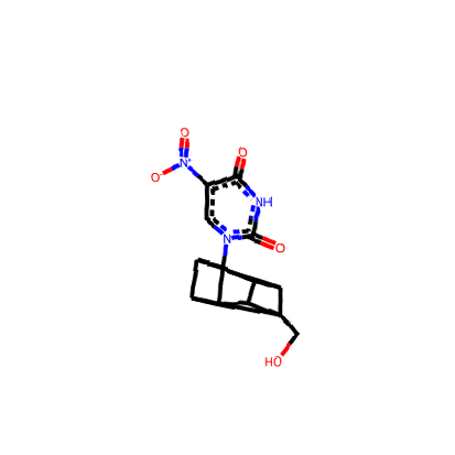 O=c1[nH]c(=O)n(C23C4C5C2C2C3C4C52CO)cc1[N+](=O)[O-]